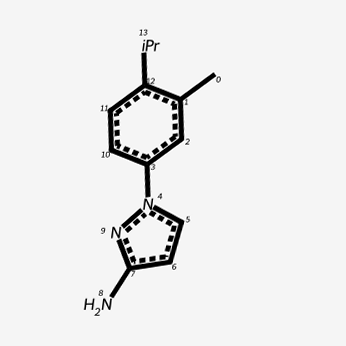 Cc1cc(-n2ccc(N)n2)ccc1C(C)C